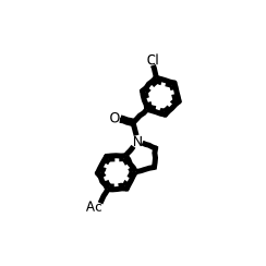 CC(=O)c1ccc2c(c1)CCN2C(=O)c1cccc(Cl)c1